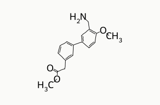 COC(=O)Cc1cccc(-c2ccc(OC)c(CN)c2)c1